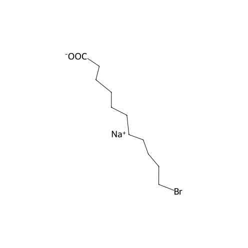 O=C([O-])CCCCCCCCCCBr.[Na+]